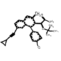 CC(=O)C(OC(C)(C)C)c1c(C)cc2ccc(C#CC3CC3)cc2c1-c1ccc(Cl)cc1